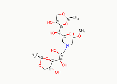 COCCN(C[C@H](O)[C@@H](O)[C@@H]1O[C@H](C)OC[C@H]1O)C[C@H](O)[C@@H](O)[C@@H]1O[C@H](C)OC[C@H]1O